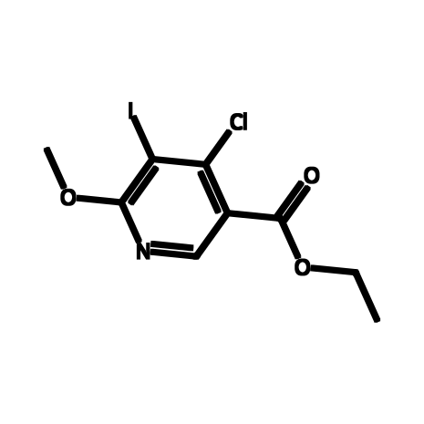 CCOC(=O)c1cnc(OC)c(I)c1Cl